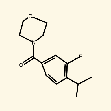 CC(C)c1ccc(C(=O)N2CCOCC2)cc1F